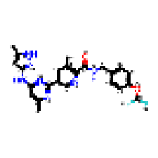 Cc1cc(Nc2cc(C)[nH]n2)nc(-c2cnc(C(=O)NCc3ccc(OC(F)F)cc3)c(C)c2)n1